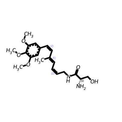 COc1cc(\C=C/C(C)=C/C=C\CNC(=O)[C@@H](N)CO)cc(OC)c1OC